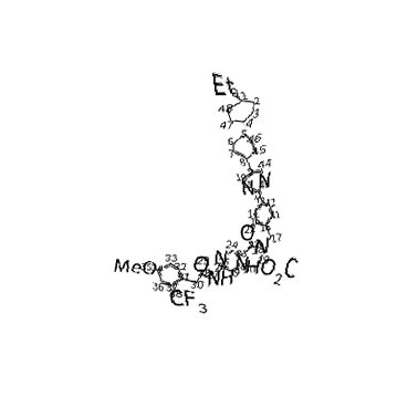 CC[C@H]1CC[C@H](C2CC=C(c3cnc(-c4ccc(CN(CC(=O)O)C(=O)c5cnc(NC(=O)Cc6ccc(OC)cc6C(F)(F)F)cn5)cc4)nc3)CC2)CC1